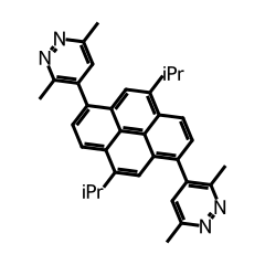 Cc1cc(-c2ccc3c(C(C)C)cc4c(-c5cc(C)nnc5C)ccc5c(C(C)C)cc2c3c45)c(C)nn1